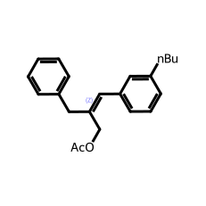 CCCCc1cccc(/C=C(\COC(C)=O)Cc2ccccc2)c1